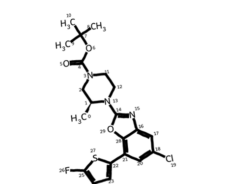 C[C@H]1CN(C(=O)OC(C)(C)C)CCN1c1nc2cc(Cl)cc(-c3ccc(F)s3)c2o1